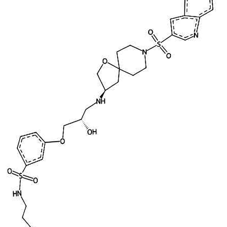 O=S(=O)(NCCF)c1cccc(OC[C@@H](O)CN[C@H]2COC3(CCN(S(=O)(=O)c4cnc5ccccc5c4)CC3)C2)c1